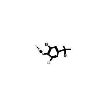 CCc1cc(C(C)(C)CC)cc(CC)c1N=C=S